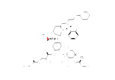 CN(C(=O)OC(C)(C)C)[C@@H]1[C@@H](O)[C@@H](O[C@@H]2[C@@H](O)[C@H](O[C@H]3O[C@H](CN(CCOC4CCCCO4)S(=O)(=O)c4ccccc4[N+](=O)[O-])CC[C@H]3NC(=O)O)[C@@H](NC(=O)OC(C)(C)C)C[C@H]2NC(=O)C(O)CNC(=O)OC(C)(C)C)OC[C@]1(C)O